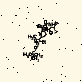 CCc1c(-c2ccc(NC(=O)C(NC(=O)OC(C)(C)C)C(C3CC3)C3CC3)cn2)c(C)nn1COCCS(C)(C)C